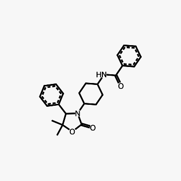 CC1(C)OC(=O)N(C2CCC(NC(=O)c3ccccc3)CC2)C1c1ccccc1